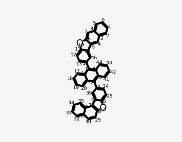 c1ccc2cc3c(cc2c1)oc1ccc(-c2c4ccccc4c(-c4ccc5oc6ccc7ccccc7c6c5c4)c4ccccc24)cc13